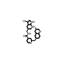 CCc1cnc2ccc(Cc3cc(C(=O)NCc4cnc5[nH]cc(Cl)c5c4)ccn3)cc2c1